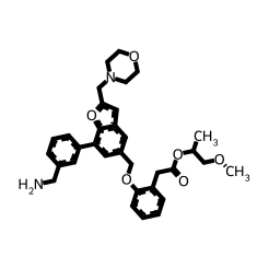 COCC(C)OC(=O)Cc1ccccc1OCc1cc(-c2cccc(CN)c2)c2oc(CN3CCOCC3)cc2c1